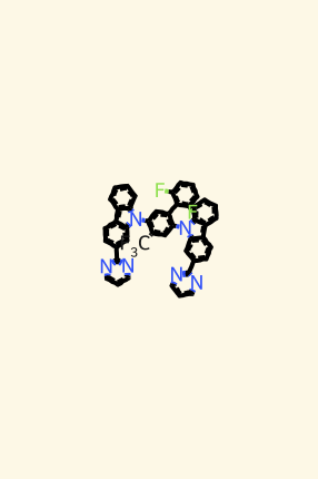 Fc1cccc(F)c1-c1cc(-n2c3ccccc3c3ccc(-c4ncccn4)cc32)c(C(F)(F)F)cc1-n1c2ccccc2c2ccc(-c3ncccn3)cc21